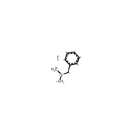 C[S+](C)Cc1ccccc1.[F-]